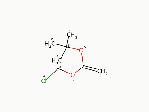 C=C(OCCl)OC(C)(C)C